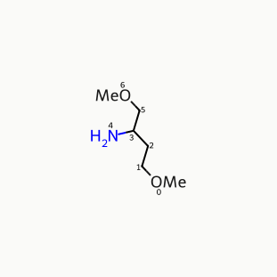 COCCC(N)COC